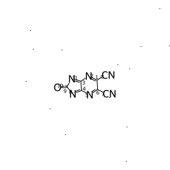 N#Cc1nc2c(nc1C#N)=NC(=O)N=2